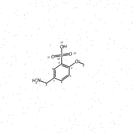 COc1ccc(CN)cc1S(=O)(=O)O